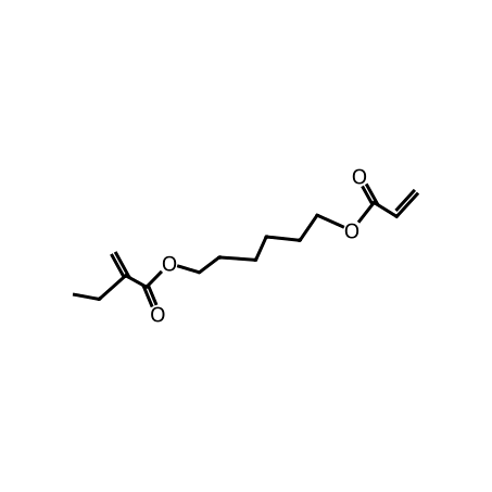 C=CC(=O)OCCCCCCOC(=O)C(=C)CC